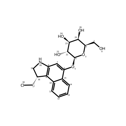 OC[C@H]1O[C@@H](Oc2cc3c(c4ccccc24)[C@H](CCl)CN3)[C@H](O)[C@@H](O)[C@H]1O